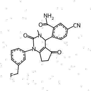 CN1C(=O)N(c2cccc(CF)c2)C2=C(C(=O)CC2)C1c1ccc(C#N)cc1C(N)=O